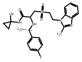 N#CC1(NC(=O)C(CS(=O)(=O)CCn2c(C(F)(F)F)nc3ccccc32)N[C@H](c2ccc(F)cc2)C(F)(F)F)CC1